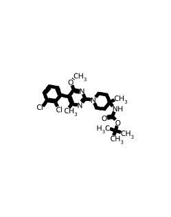 COc1nc(N2CCC(C)(NC(=O)OC(C)(C)C)CC2)nc(C)c1-c1cccc(Cl)c1Cl